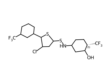 OC1CC(NSC2CC(Cl)C(C3CCCC(C(F)(F)F)C3)S2)CC[C@@H]1C(F)(F)F